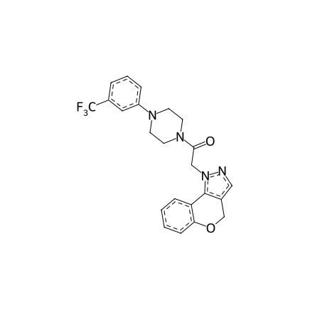 O=C(Cn1ncc2c1-c1ccccc1OC2)N1CCN(c2cccc(C(F)(F)F)c2)CC1